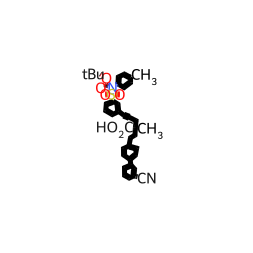 Cc1ccc(N(C(=O)OC(C)(C)C)S(=O)(=O)c2cccc(C#CCC(C)(CCc3ccc(-c4cccc(C#N)c4)cc3)C(=O)O)c2)cc1